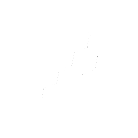 NC1CCC/C(=C(/F)CCC(=O)O)C1